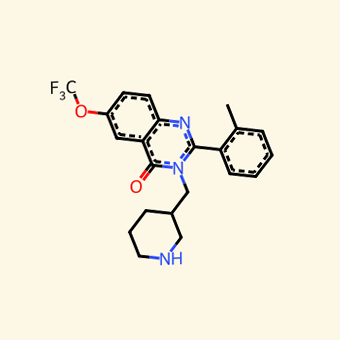 Cc1ccccc1-c1nc2ccc(OC(F)(F)F)cc2c(=O)n1CC1CCCNC1